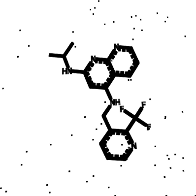 CC(C)Nc1cc(NCc2cccnc2C(F)(F)F)c2cccnc2n1